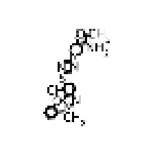 CC(c1ccccc1)n1cnc2ccc(Sc3cnc(N4CCC5(CC4)CO[C@@H](C)[C@H]5N)cn3)c(Cl)c2c1=O